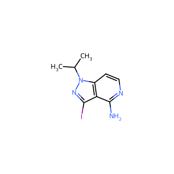 CC(C)n1nc(I)c2c(N)nccc21